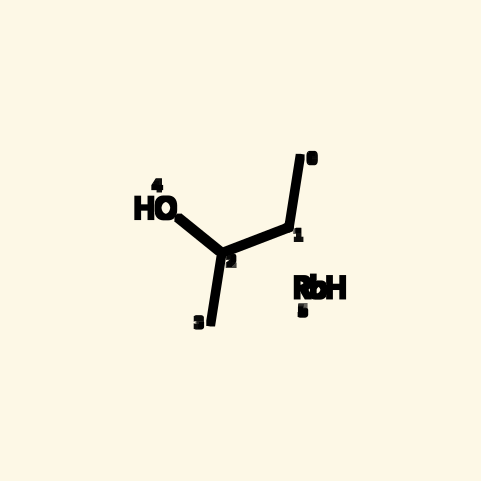 CCC(C)O.[RbH]